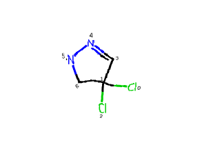 ClC1(Cl)C=N[N]C1